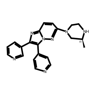 C[C@H]1CN(c2ccc3nc(-c4cccnc4)c(-c4ccncc4)n3n2)CCN1